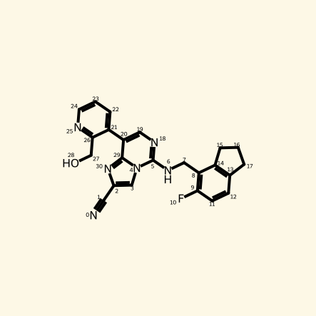 N#Cc1cn2c(NCc3c(F)ccc4c3CCC4)ncc(-c3cccnc3CO)c2n1